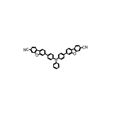 N#Cc1ccc2c(c1)oc1cc(-c3ccc(N(c4ccccc4)c4ccc(-c5ccc6c(c5)oc5cc(C#N)ccc56)cc4)cc3)ccc12